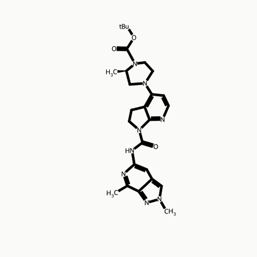 Cc1nc(NC(=O)N2CCc3c(N4CCN(C(=O)OC(C)(C)C)[C@H](C)C4)ccnc32)cc2cn(C)nc12